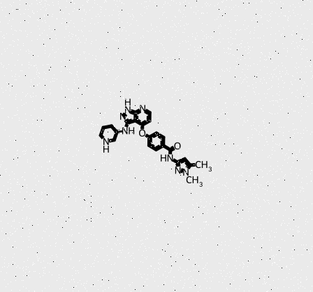 Cc1cc(NC(=O)c2ccc(Oc3ccnc4[nH]nc(N[C@@H]5CCCNC5)c34)cc2)nn1C